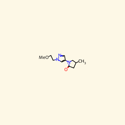 COCCn1cc(N2CC(C)CC2=O)cn1